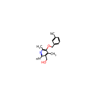 CCCc1nc(C)c(OCc2cccc(C#N)c2)c(C)c1CO